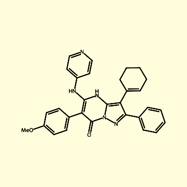 COc1ccc(-c2c(Nc3ccncc3)[nH]c3c(C4=CCCCC4)c(-c4ccccc4)nn3c2=O)cc1